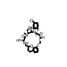 CCCC1NCC2CCc3cccc(c3O2)CCCNC(=O)[C@@H](Cc2ccc(Cl)cc2)NC(=O)[C@H](CO)N(C)C1=O